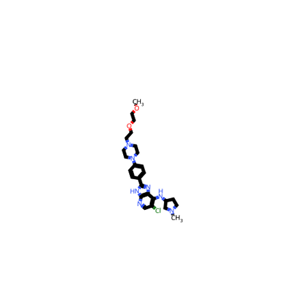 COCCOCCN1CCN(c2ccc(-c3nc4c(NC5CCN(C)C5)c(Cl)cnc4[nH]3)cc2)CC1